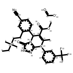 CC[N+](C)(C)CCc1cc(C#N)ccc1C1C(C(=O)OC)=C(C)N(c2cccc(C(F)(F)F)c2)c2n[nH]c(=O)n21.O=C[O-]